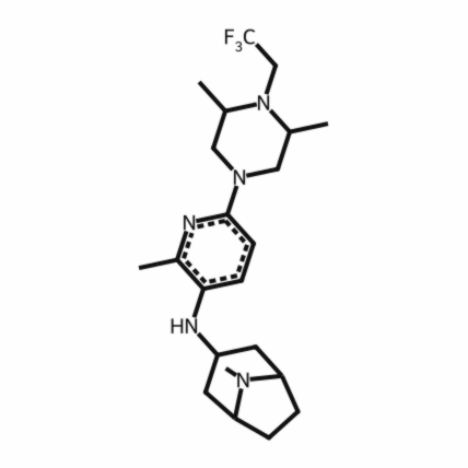 Cc1nc(N2CC(C)N(CC(F)(F)F)C(C)C2)ccc1NC1CC2CCC(C1)N2C